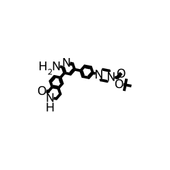 CC(C)(C)OC(=O)N1CCN(c2ccc(-c3cnc(N)c(-c4ccc5c(c4)CCNC5=O)c3)cc2)CC1